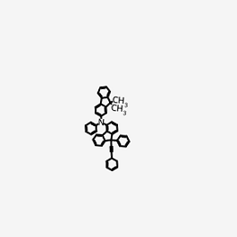 CC1(C)c2ccccc2-c2ccc(N(c3ccccc3)c3cccc4c3-c3ccccc3C4(C#CC3C=CC=CC3)c3ccccc3)cc21